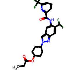 CCC(=O)OC1CCC(n2cc3cc(NC(=O)c4cccc(C(F)(F)F)n4)c(C(F)F)cc3n2)CC1